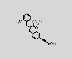 CCCCCCCCC#Cc1ccc(CN(Cc2ccccc2C(F)(F)F)C(=O)C(=O)OCC)cc1